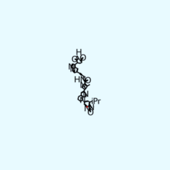 Cc1cc(-c2cc3c(cn2)N(c2cc(C(C)C)c4c(c2)n(C)c(=O)n4C)CCC3)cnc1C(=O)NCC#Cc1ccn2ncc(C3CCC(=O)NC3=O)c2c1